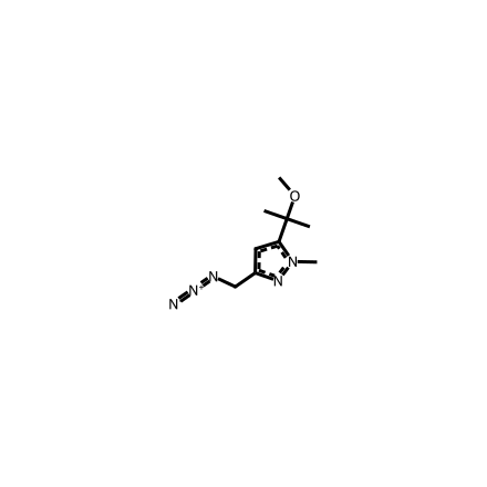 COC(C)(C)c1cc(CN=[N+]=[N-])nn1C